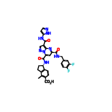 Cc1c(C(=O)O)ccc2c1CC[C@@H]2NC(=O)c1cc(C(=O)NCc2ccc(F)c(F)c2)nc2c(C(=O)Nc3ccn[nH]3)cnn12